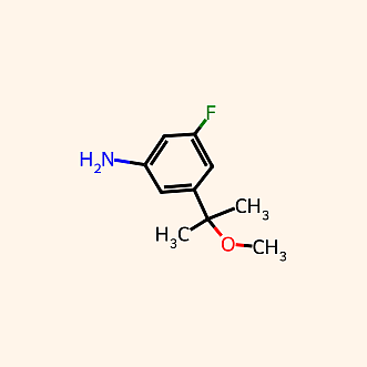 COC(C)(C)c1cc(N)cc(F)c1